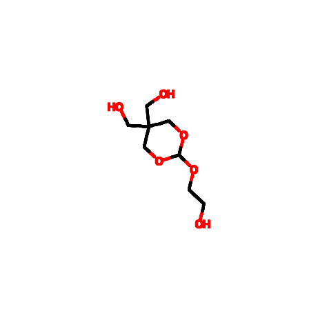 OCCOC1OCC(CO)(CO)CO1